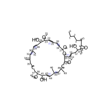 CCCCC(C)C1OC1(C)C(O)C/C=C/C1OC(=O)/C=C/C=C/C(OC)C(O)/C=C/C(C)=C/C(C)CCCC(OC)C(O)/C=C/C(C)=C/C(C)CC1OC